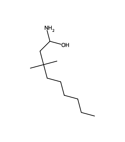 CCCCCCC(C)(C)CC(N)O